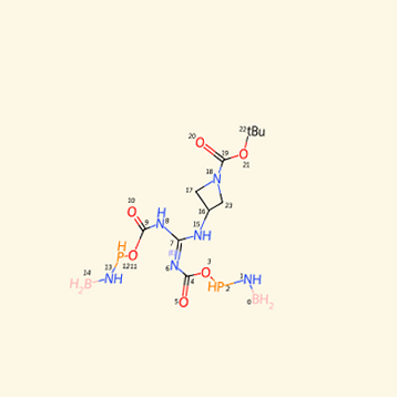 BNPOC(=O)/N=C(/NC(=O)OPNB)NC1CN(C(=O)OC(C)(C)C)C1